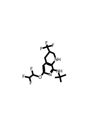 CC(C)(C)Nc1nc(OC(F)C(F)F)cc2c1NCC(C(F)(F)F)C2